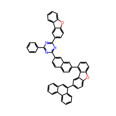 c1ccc(-c2nc(-c3ccc4ccc(-c5cccc6oc7ccc(-c8cc9ccccc9c9ccccc89)cc7c56)cc4c3)nc(-c3ccc4oc5ccccc5c4c3)n2)cc1